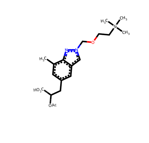 CC(=O)OC(Cc1cc(C)c2nn(COCC[Si](C)(C)C)cc2c1)C(=O)O